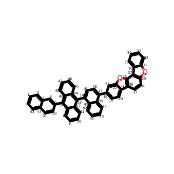 c1ccc2cc(-c3c4ccccc4c(-c4ccc(-c5ccc6c(c5)oc5c6ccc6oc7ccccc7c65)c5ccccc45)c4ccccc34)ccc2c1